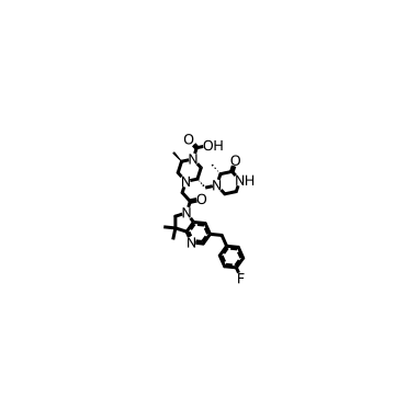 C[C@@H]1C(=O)NCCN1C[C@H]1CN(C(=O)O)[C@H](C)CN1CC(=O)N1CC(C)(C)c2ncc(Cc3ccc(F)cc3)cc21